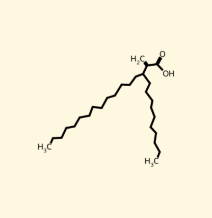 C=C(C(=O)O)C(CCCCCCCCCC)CCCCCCCCCCCCCC